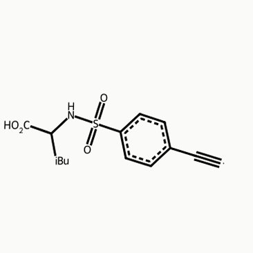 [C]#Cc1ccc(S(=O)(=O)NC(C(=O)O)C(C)CC)cc1